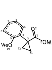 COC(=O)C1(c2ccccc2OC)CC1